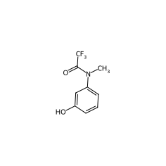 CN(C(=O)C(F)(F)F)c1cccc(O)c1